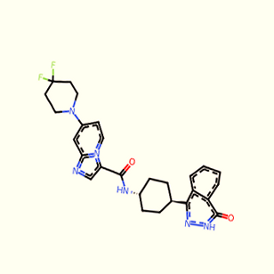 O=C(N[C@H]1CC[C@H](c2n[nH]c(=O)c3ccccc32)CC1)c1cnc2cc(N3CCC(F)(F)CC3)ccn12